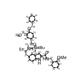 CC[C@@H](Cc1ccc2[nH]c(C(=O)NCc3ccccc3OC)cc2c1)NC[C@@H](O[Si](C)(C)C(C)(C)C)c1ccc(OCc2ccccc2)c(CO)c1